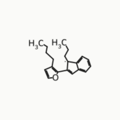 CCCCc1ccoc1C1=Cc2ccccc2[C]1CCC